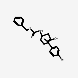 O=C(NC12CCC(c3ccc(Br)cc3)(CC1)C(O)C2)OCc1ccccc1